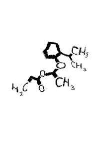 C=CC(=O)OC(C)Oc1ccccc1C(C)C